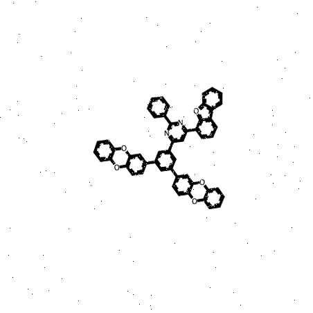 c1ccc(-c2nc(-c3cc(-c4ccc5c(c4)Oc4ccccc4O5)cc(-c4ccc5c(c4)Oc4ccccc4O5)c3)cc(-c3cccc4c3oc3ccccc34)n2)cc1